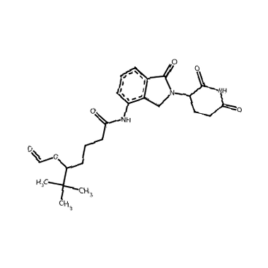 CC(C)(C)C(CCCC(=O)Nc1cccc2c1CN(C1CCC(=O)NC1=O)C2=O)OC=O